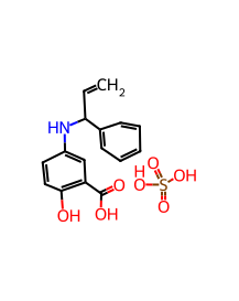 C=CC(Nc1ccc(O)c(C(=O)O)c1)c1ccccc1.O=S(=O)(O)O